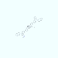 C=C/C=C\c1c(C)n(-c2ccc3ccccc3c2)c2ccc(-c3ccc4c(c3)C(C)(C)c3cc5c(cc3-4)C(C)(C)c3cc(-c4ccc6c(c4)c4ccccc4n6-c4ccc6ccccc6c4)ccc3-5)cc12